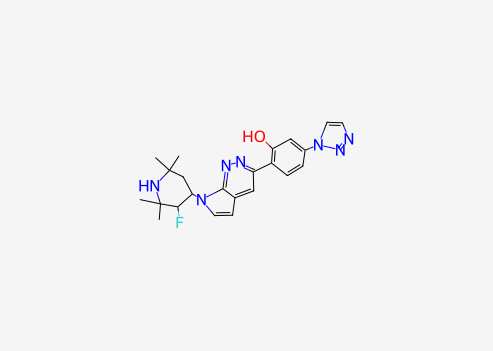 CC1(C)CC(n2ccc3cc(-c4ccc(-n5ccnn5)cc4O)nnc32)C(F)C(C)(C)N1